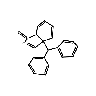 C=CC1(C(c2ccccc2)c2ccccc2)C=CC=CC1[N+](=O)[O-]